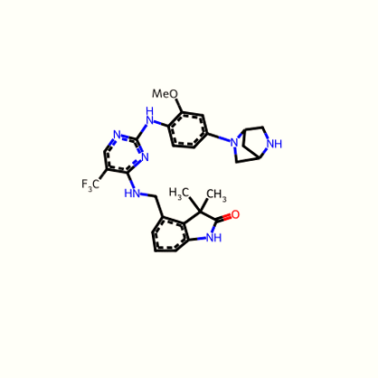 COc1cc(N2CC3CC2CN3)ccc1Nc1ncc(C(F)(F)F)c(NCc2cccc3c2C(C)(C)C(=O)N3)n1